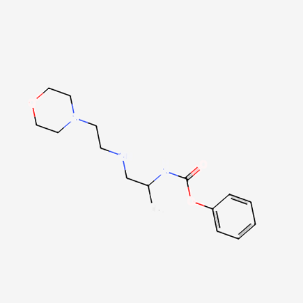 CCC(C)C(CNCCN1CCOCC1)NC(=O)Oc1ccccc1